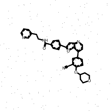 N#Cc1cc(-c2ccnc3cc(-c4ccc(C(=O)NCCc5cccnc5)cc4)oc23)ccc1OC1CCOCC1